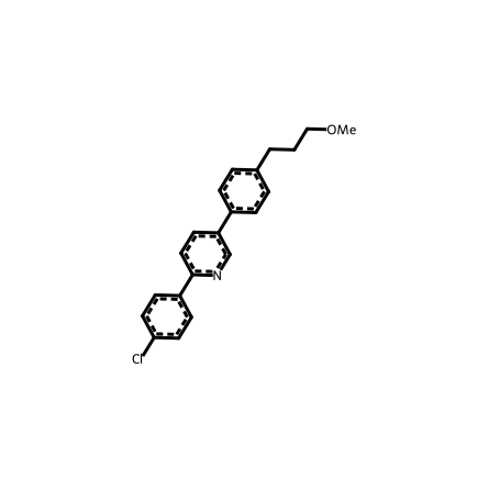 COCCCc1ccc(-c2ccc(-c3ccc(Cl)cc3)nc2)cc1